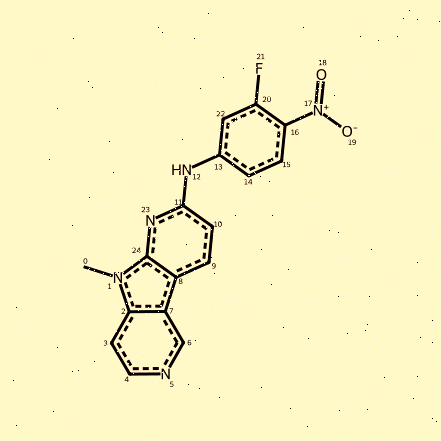 Cn1c2ccncc2c2ccc(Nc3ccc([N+](=O)[O-])c(F)c3)nc21